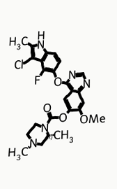 COc1cc2ncnc(Oc3ccc4[nH]c(C)c(Cl)c4c3F)c2cc1OC(=O)N1CCN(C)C[C@H]1C